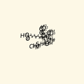 O=C(O)CCCC=CC[C@@H]1[C@@H](C=C[C@H](CCc2ccc(Cl)s2)OC2CCCCO2)[C@H](OC2CCCCO2)C[C@@H]1OC1CCCCO1